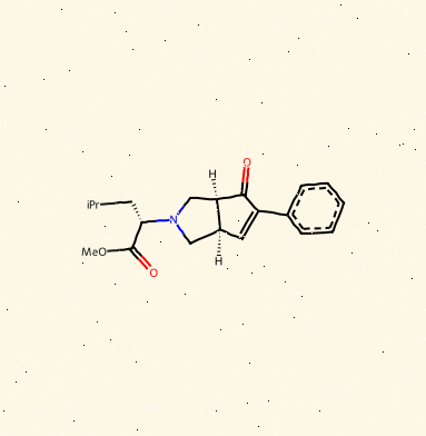 COC(=O)[C@H](CC(C)C)N1C[C@@H]2C=C(c3ccccc3)C(=O)[C@@H]2C1